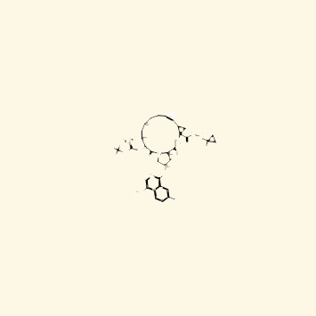 CC[C@@H]1C[C@H](C)CC/C=C\C2CC2(C(=O)NS(=O)(=O)C2(C)CC2)NC(=O)[C@@H]2C[C@@H](Oc3ncc(OC)c4ccc(F)cc34)CN2C(=O)[C@H]1NC(=O)OC(C)(C)C